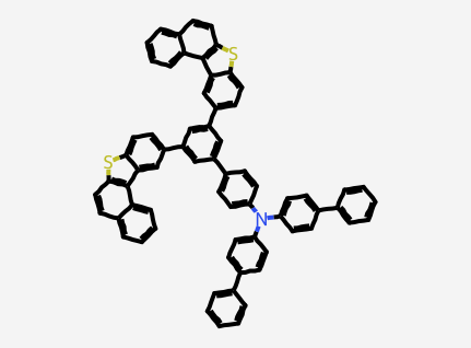 c1ccc(-c2ccc(N(c3ccc(-c4ccccc4)cc3)c3ccc(-c4cc(-c5ccc6sc7ccc8ccccc8c7c6c5)cc(-c5ccc6sc7ccc8ccccc8c7c6c5)c4)cc3)cc2)cc1